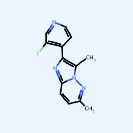 Cc1ccc2nc(-c3ccncc3F)c(C)n2n1